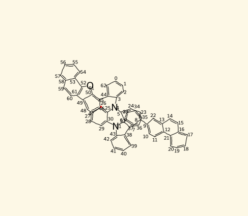 c1ccc(N(c2ccc(-c3ccc4c(ccc5ccccc54)c3)cc2)c2ccccc2-n2c3ccccc3c3ccccc32)c(-c2cccc3c2oc2c4ccccc4ccc32)c1